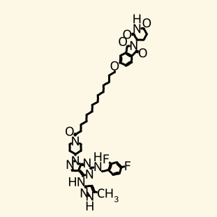 Cc1cc(Nc2nc(NCc3ccc(F)cc3F)nc3c2cnn3C2CCN(C(=O)CCCCCCCCCCCCCOc3ccc4c(c3)C(=O)N(C3CCC(=O)NC3=O)C4=O)CC2)n[nH]1